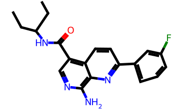 CCC(CC)NC(=O)c1cnc(N)c2nc(-c3cccc(F)c3)ccc12